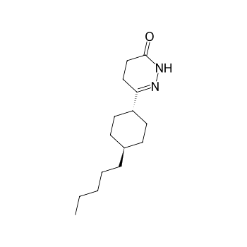 CCCCC[C@H]1CC[C@H](C2=NNC(=O)CC2)CC1